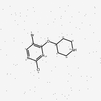 Clc1ncc(Br)c(OC2CCNCC2)n1